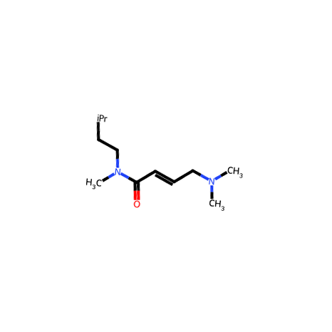 CC(C)CCN(C)C(=O)/C=C/CN(C)C